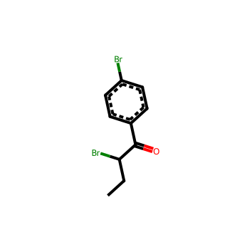 CCC(Br)C(=O)c1ccc(Br)cc1